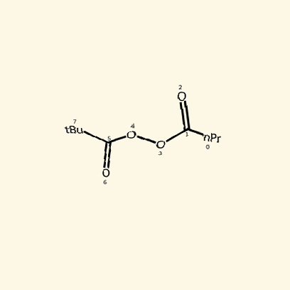 CCCC(=O)OOC(=O)C(C)(C)C